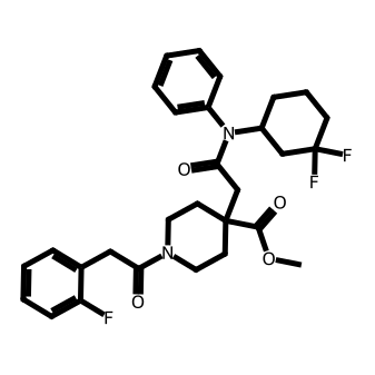 COC(=O)C1(CC(=O)N(c2ccccc2)C2CCCC(F)(F)C2)CCN(C(=O)Cc2ccccc2F)CC1